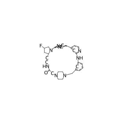 O=C1CN2CCN(CC2)Cc2cccc(c2)Nc2cc(ccn2)-c2cnc(nc2)N2CC(F)CC2CCN1